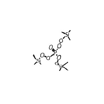 C[Si](C)(C)OOP(=O)(OO[Si](C)(C)C)OO[Si](C)(C)C